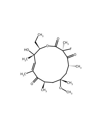 CC[C@H]1OC(=O)[C@@](C)(F)C(=O)[C@H](C)C[C@](C)(OC)C[C@@H](C)C(=O)/C(C)=C/[C@]1(C)O